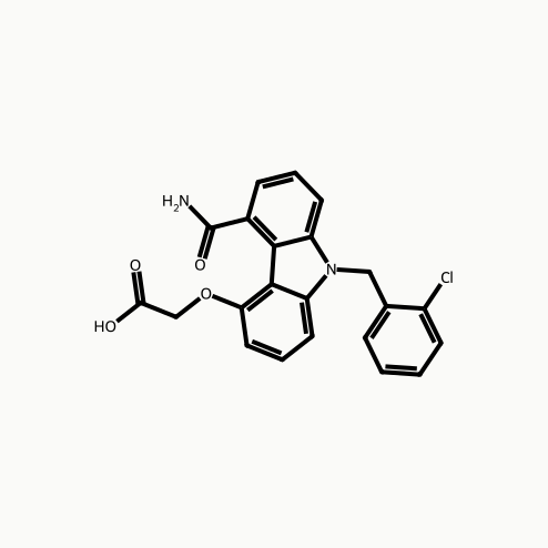 NC(=O)c1cccc2c1c1c(OCC(=O)O)cccc1n2Cc1ccccc1Cl